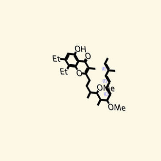 C/C=C(C)/C=C/C=C/C(OC)C(C)C(OC)C(C)CCc1oc2c(CC)c(CC)cc(O)c2c(=O)c1C